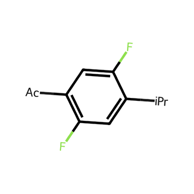 CC(=O)c1cc(F)c(C(C)C)cc1F